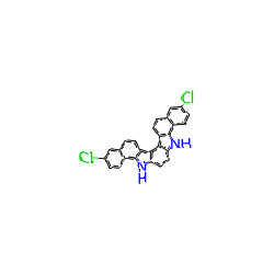 Clc1ccc2c(ccc3c2[nH]c2ccc4[nH]c5c6ccc(Cl)cc6ccc5c4c23)c1